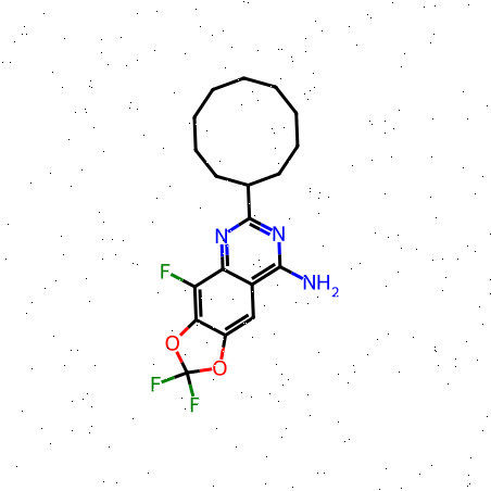 Nc1nc(C2CCCCCCCCC2)nc2c(F)c3c(cc12)OC(F)(F)O3